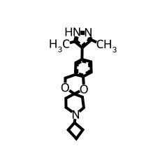 Cc1n[nH]c(C)c1-c1ccc2c(c1)COC1(CCN(C3CCC3)CC1)O2